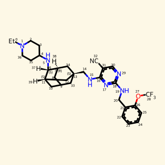 CCN1CCC(N[C@@H]2[C@@H]3CC4C[C@H]2C[C@@](CNc2nc(NCc5ccccc5OC(F)(F)F)ncc2C#N)(C4)C3)CC1